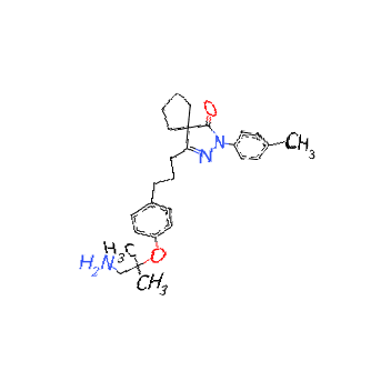 Cc1ccc(N2N=C(CCCc3ccc(OC(C)(C)CN)cc3)C3(CCCC3)C2=O)cc1